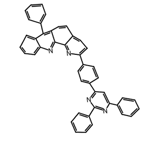 c1ccc(-c2cc(-c3ccc(-c4ccc5ccc6c(-c7ccccc7)c7ccccc7nc6c5n4)cc3)nc(-c3ccccc3)n2)cc1